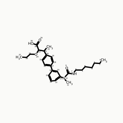 CCCCCCCNC(=O)N(C)c1cccc(-c2ccc(C(C)C(OCCC)C(=O)O)cc2)c1